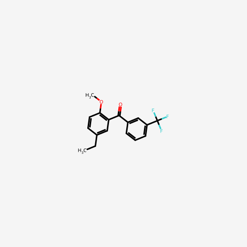 CCc1ccc(OC)c(C(=O)c2cccc(C(F)(F)F)c2)c1